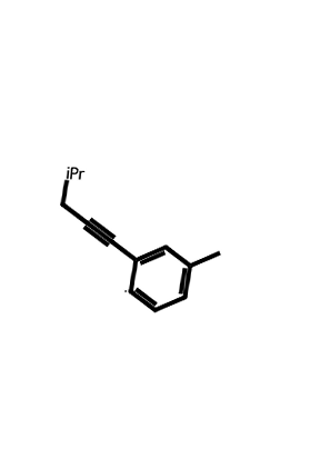 Cc1cc[c]c(C#CCC(C)C)c1